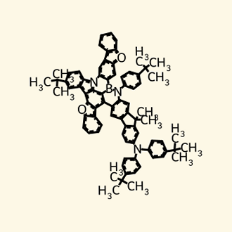 CC(C)(C)c1ccc(N2B3c4cc5oc6ccccc6c5cc4-n4c5ccc(C(C)(C)C)cc5c5c6oc7ccccc7c6c(c3c54)-c3cc4c(cc32)C(C)(C)c2cc(N(c3ccc(C(C)(C)C)cc3)c3ccc(C(C)(C)C)cc3)ccc2-4)cc1